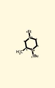 CCN1CCN(C(C)(C)C)[C@@H](C)C1